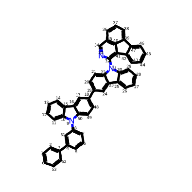 c1ccc(-c2cccc(-n3c4ccccc4c4cc(-c5ccc6c(c5)c5ccccc5n6-c5ncc6cccc7c6c5-c5ccccc5-7)ccc43)c2)cc1